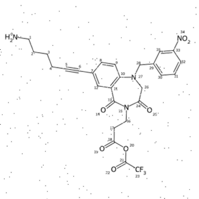 NCCCCC#Cc1ccc2c(c1)C(=O)N(CCC(=O)OC(=O)C(F)(F)F)C(=O)CN2Cc1cccc([N+](=O)[O-])c1